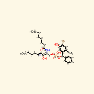 CCCCCCCCCCCCC/C=C/[C@@H](O)[C@H](COP(=O)(O)OC(c1ccccc1)c1cc(O)c(Br)cc1[N+](=O)[O-])NC(=O)CCCCCCCCCCCCCCC